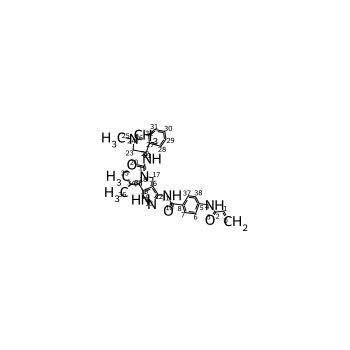 C=CC(=O)Nc1ccc(C(=O)Nc2n[nH]c3c2CN(C(=O)NC(CN(C)C)c2ccccc2)[C@@H]3C(C)C)cc1